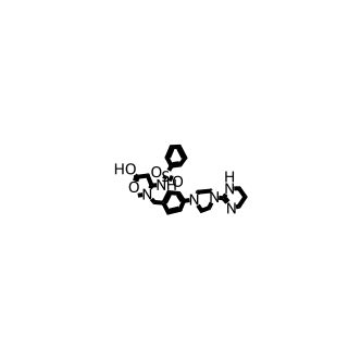 CN(Cc1ccc(N2CCN(C3=NCCCN3)CC2)cc1)C(CC(=O)O)NS(=O)(=O)c1ccccc1